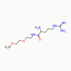 N=C(N)NCCCC(N)C(=O)NCCOCCO[N+](=O)[O-]